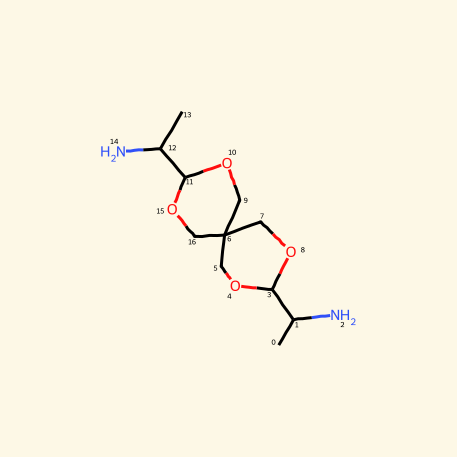 CC(N)C1OCC2(CO1)COC(C(C)N)OC2